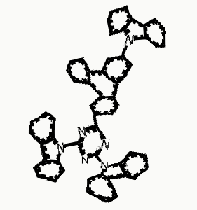 c1ccc2c(c1)c1cc(-c3nc(-n4c5ccccc5c5ccccc54)nc(-n4c5ccccc5c5ccccc54)n3)ccc1c1ccc(-n3c4ccccc4c4ccccc43)cc21